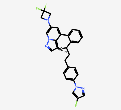 CC(CCc1ccc(-n2cc(F)cn2)cc1)c1ccccc1-c1cc(N2CC(F)(F)C2)cn2ncc(C#N)c12